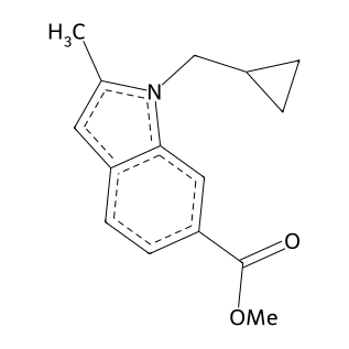 COC(=O)c1ccc2cc(C)n(CC3CC3)c2c1